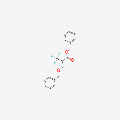 O=C(OCc1ccccc1)C(COCc1ccccc1)C(F)(F)F